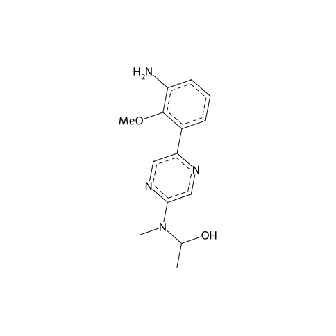 COc1c(N)cccc1-c1cnc(N(C)C(C)O)cn1